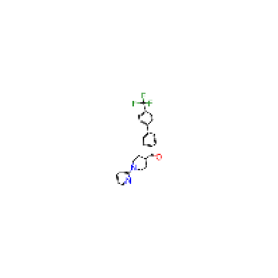 O=C(c1ccc(-c2ccc(C(F)(F)F)cc2)cc1)C1CCN(c2ccccn2)CC1